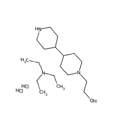 CCN(CC)CC.Cl.Cl.OCCN1CCC(C2CCNCC2)CC1